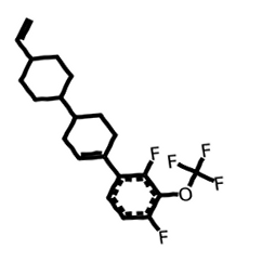 C=CC1CCC(C2CC=C(c3ccc(F)c(OC(F)(F)F)c3F)CC2)CC1